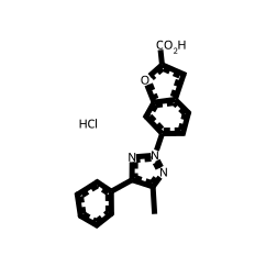 Cc1nn(-c2ccc3cc(C(=O)O)oc3c2)nc1-c1ccccc1.Cl